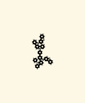 c1ccc(-n2c3ccccc3c3ccc4c(c5ccc(-c6ccc(-n7c8ccccc8c8c7ccc7c9ccccc9n(-c9ccc%10sc%11ccccc%11c%10c9)c78)cc6)cc5n4-c4ccc5sc6ccccc6c5c4)c32)cc1